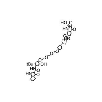 CC(C)(C)c1cc(OCCOCCOCCOc2ccc(C3CCN(S(=O)(=O)c4ccc5c(c4)NCN(CC(=O)O)C5=O)CC3)cc2)c(O)cc1NC(=O)c1c[nH]c2ccccc2c1=O